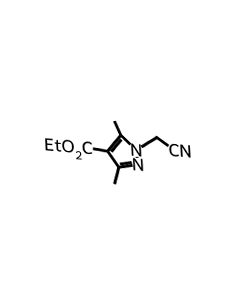 CCOC(=O)c1c(C)nn(CC#N)c1C